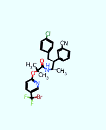 C[C@H](NC(=O)C(C)(C)Oc1ccc(C(F)(F)Br)cn1)[C@@H](Cc1ccc(Cl)cc1)c1cccc(C#N)c1